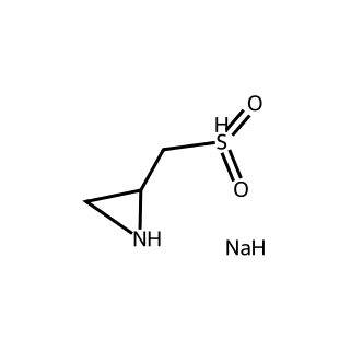 O=[SH](=O)CC1CN1.[NaH]